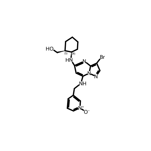 [O-][n+]1cccc(CNc2cc(N[C@@H]3CCCC[C@@H]3CO)nc3c(Br)cnn23)c1